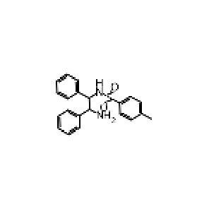 Cc1ccc(S(=O)(=O)NC(c2ccccc2)C(N)c2ccccc2)cc1